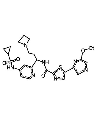 CCOc1cncc(-c2cnc(C(=O)NC(CCN3CCC3)c3cc(NS(=O)(=O)C4CC4)ccn3)s2)n1